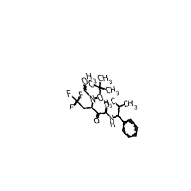 CC(C)C(NC(=O)C(=O)C(CC(F)(F)F)N(C=O)OC(C)(C)C)c1ccccc1